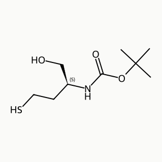 CC(C)(C)OC(=O)N[C@H](CO)CCS